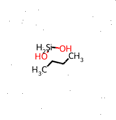 CCCC.O[SiH2]O